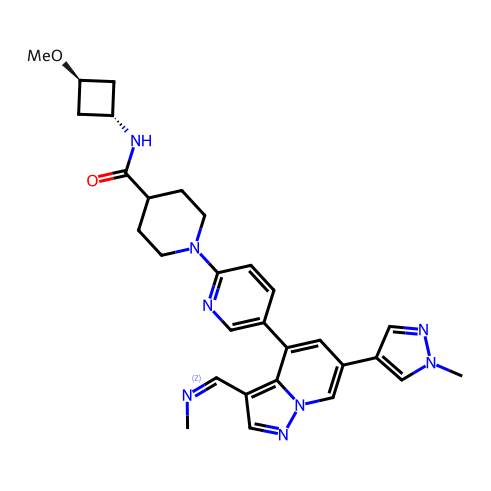 C/N=C\c1cnn2cc(-c3cnn(C)c3)cc(-c3ccc(N4CCC(C(=O)N[C@H]5C[C@H](OC)C5)CC4)nc3)c12